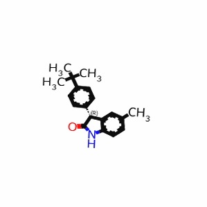 Cc1ccc2c(c1)[C@@H](c1ccc(C(C)(C)C)cc1)C(=O)N2